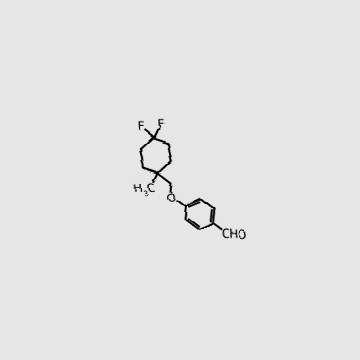 CC1(COc2ccc(C=O)cc2)CCC(F)(F)CC1